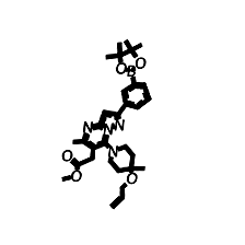 C=CCOC1(C)CCN(c2c(CC(=O)OC)c(C)nc3cc(-c4cccc(B5OC(C)(C)C(C)(C)O5)c4)nn23)CC1